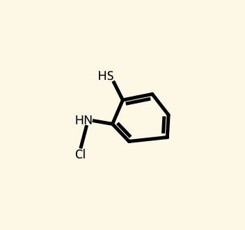 Sc1ccccc1NCl